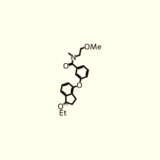 CCO[C@@H]1CCc2c(Oc3cccc(C(=O)N(C)CCOC)c3)cccc21